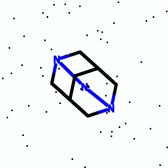 C1C2CN3CC1CN(C2)[N]3